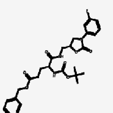 CC(C)(C)OC(=O)N[C@@H](CCC(=O)OCc1ccccc1)C(=O)NC[C@H]1CN(c2cccc(F)c2)C(=O)O1